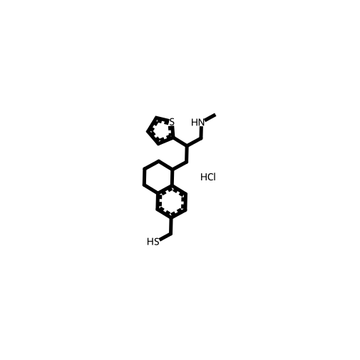 CNCC(CC1CCCc2cc(CS)ccc21)c1cccs1.Cl